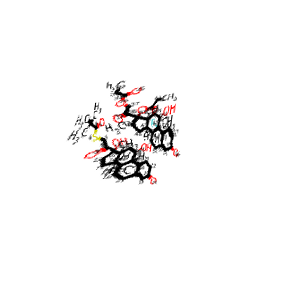 CC(C)(C)C(=O)SCC(=O)[C@@]1(O)CC[C@H]2[C@@H]3CCC4=CC(=O)CC[C@]4(C)[C@H]3[C@@H](O)C[C@@]21C.CCC(=O)OCC(=O)[C@@]1(OC(=O)CC)[C@@H](C)C[C@H]2[C@@H]3CCC4=CC(=O)C=C[C@]4(C)[C@@]3(F)[C@@H](O)C[C@@]21C